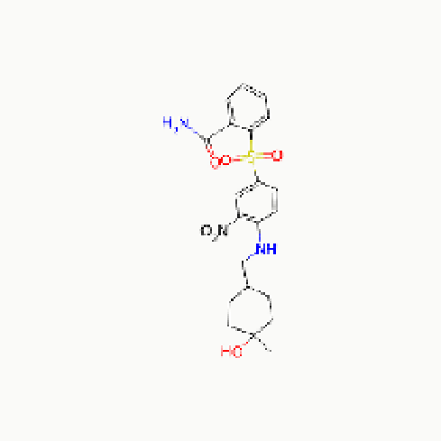 CC1(O)CCC(CNc2ccc(S(=O)(=O)c3ccccc3C(N)=O)cc2[N+](=O)[O-])CC1